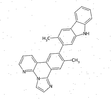 Cc1cc2c(cc1-c1cc3c4cccnc4n4ccnc4c3cc1C)[nH]c1ccccc12